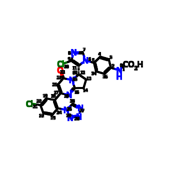 O=C(O)Nc1ccc(-n2cnc(Cl)c2[C@@H]2CCc3nc(-c4cc(Cl)ccc4-n4cnnn4)cc(=O)n32)cc1